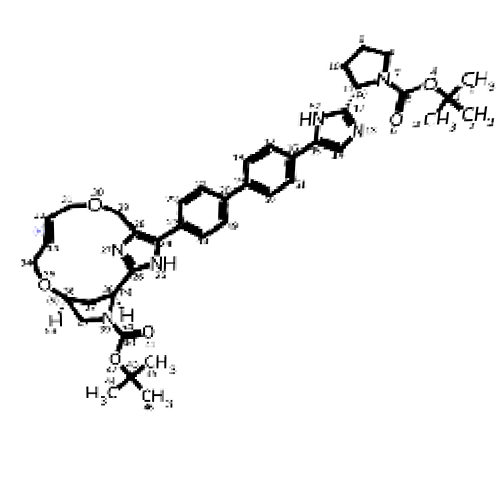 CC(C)(C)OC(=O)N1CCC[C@H]1c1ncc(-c2ccc(-c3ccc(-c4[nH]c5nc4COC/C=C/CO[C@H]4C[C@@H]5N(C(=O)OC(C)(C)C)C4)cc3)cc2)[nH]1